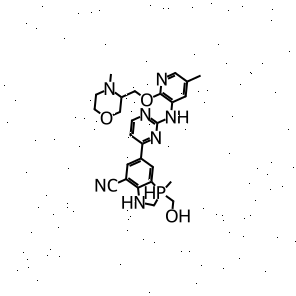 Cc1cnc(OCC2COCCN2C)c(Nc2nccc(-c3cc(C#N)c4c(c3)[PH](C)(CO)CN4)n2)c1